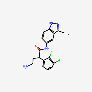 Cc1n[nH]c2ccc(NC(=O)C(CCN)c3cccc(Cl)c3Cl)cc12